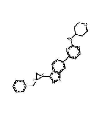 c1ccc(C[C@H]2C[C@H]2c2nnc3cc(-c4ccnc(NC5CCOCC5)n4)ccn23)cc1